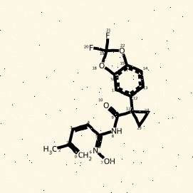 C=C(C)/C=C\C(=N\O)NC(=O)C1(c2ccc3c(c2)OC(F)(F)O3)CC1